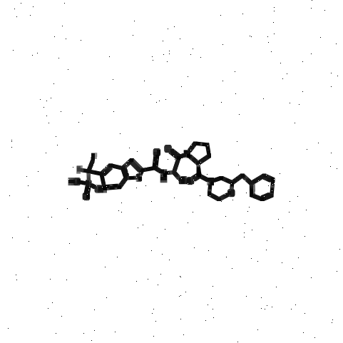 CC(C)(C)C(NC(=O)c1cc2cc(C(F)(F)P(=O)(O)O)ccc2s1)C(=O)N1CCC[C@H]1C(=O)N1CCOC(Cc2ccccc2)C1